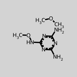 COC.CONc1nc(N)nc(N)n1